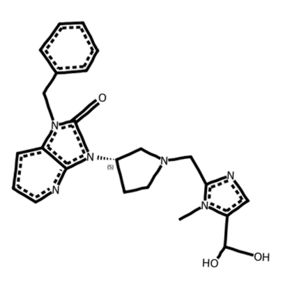 Cn1c(C(O)O)cnc1CN1CC[C@H](n2c(=O)n(Cc3ccccc3)c3cccnc32)C1